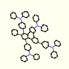 c1ccc(-c2cc(-c3ccc(N(c4ccccc4)c4ccccc4)cc3)c3c4ccc(-c5ccc(N(c6ccccc6)c6ccccc6)cc5)cc4c4cc(N(c5ccccc5)c5ccccc5)ccc4c3c2-c2ccc(N(c3ccccc3)c3ccccc3)cc2)cc1